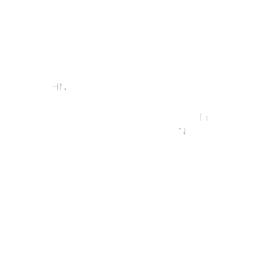 CCCN1CCOC(c2cccc3[nH]ccc23)C1